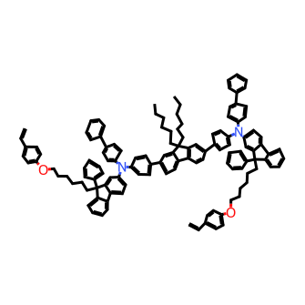 C=Cc1ccc(OCCCCCCC2(c3ccccc3)c3ccccc3-c3ccc(N(c4ccc(-c5ccccc5)cc4)c4ccc(-c5ccc6c(c5)C(CCCCCC)(CCCCCC)c5cc(-c7ccc(N(c8ccc(-c9ccccc9)cc8)c8ccc9c(c8)C(CCCCCCOc8ccc(C=C)cc8)(c8ccccc8)c8ccccc8-9)cc7)ccc5-6)cc4)cc32)cc1